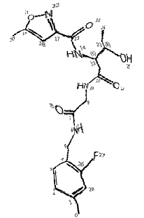 Cc1ccc(CNC(=O)CNC(=O)[C@@H](NC(=O)c2cc(C)on2)[C@@H](C)O)c(F)c1